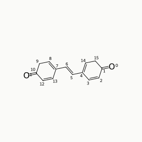 O=C1C=CC(C=CC2=CCC(=O)C=C2)=CC1